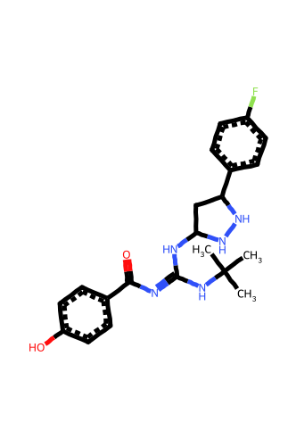 CC(C)(C)N/C(=N/C(=O)c1ccc(O)cc1)NC1CC(c2ccc(F)cc2)NN1